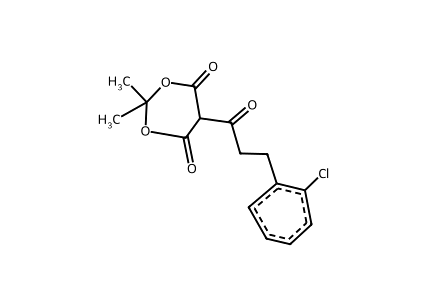 CC1(C)OC(=O)C(C(=O)CCc2ccccc2Cl)C(=O)O1